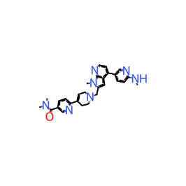 CNc1ccc(-c2ccnc3c2cc(CN2CC=C(c4ccc(C(=O)N(C)C)cn4)CC2)n3C)cn1